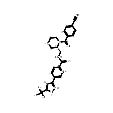 N#Cc1ccc(C(=O)N2CCOC[C@@H]2CNC(=O)c2ccc(-c3noc(C(F)(F)F)n3)cn2)cc1